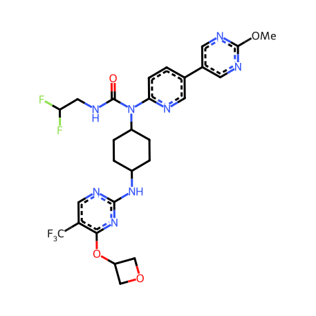 COc1ncc(-c2ccc(N(C(=O)NCC(F)F)C3CCC(Nc4ncc(C(F)(F)F)c(OC5COC5)n4)CC3)nc2)cn1